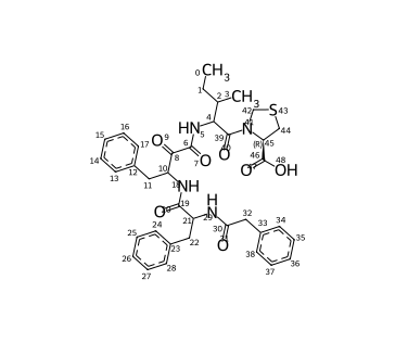 CCC(C)C(NC(=O)C(=O)C(Cc1ccccc1)NC(=O)C(Cc1ccccc1)NC(=O)Cc1ccccc1)C(=O)N1CSC[C@H]1C(=O)O